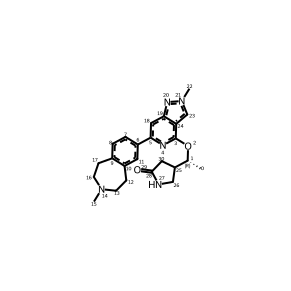 C[C@@H](Oc1nc(-c2ccc3c(c2)CCN(C)CC3)cc2nn(C)cc12)C1CNC(=O)C1